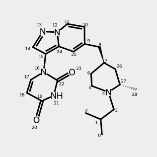 CC(C)CN1CC[C@@H](Cc2ccn3ncc(-n4ccc(=O)[nH]c4=O)c3c2)C[C@@H]1C